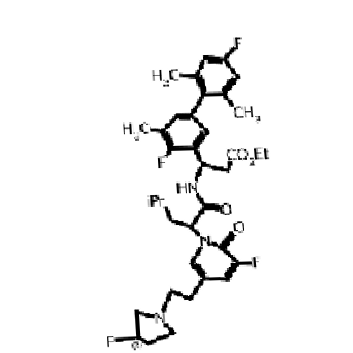 CCOC(=O)CC(NC(=O)C(CC(C)C)n1cc(CCN2CC[C@@H](F)C2)cc(F)c1=O)c1cc(-c2c(C)cc(F)cc2C)cc(C)c1F